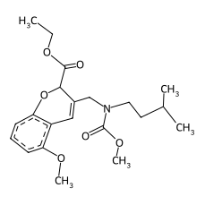 CCOC(=O)C1Oc2cccc(OC)c2C=C1CN(CCC(C)C)C(=O)OC